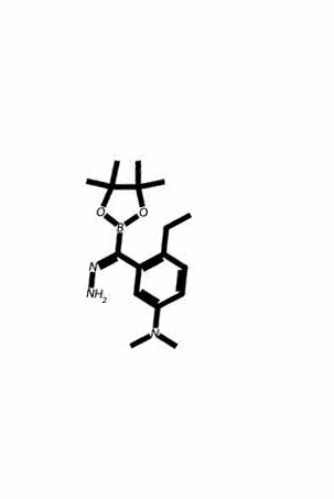 CCc1ccc(N(C)C)cc1/C(=N\N)B1OC(C)(C)C(C)(C)O1